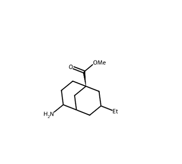 CCC1CC2C[C@](C(=O)OC)(CCC2N)C1